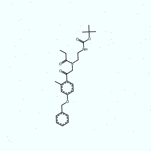 CCC(=O)N(CCNC(=O)OC(C)(C)C)CC(=O)c1ccc(OCc2ccccc2)cc1C